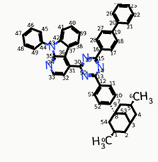 C[C@@H]1CC2C[C@H](C)C[C@@](c3ccc(-c4nc(-c5ccc(-c6ccc(C#N)cc6)cc5)nc(-c5ccnc6c5c5ccccc5n6-c5ccccc5)n4)cc3)(C2)C1